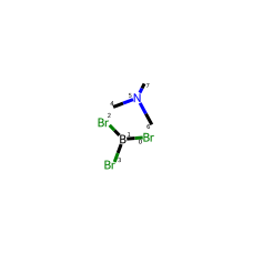 BrB(Br)Br.CN(C)C